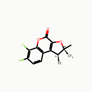 CC[C@H]1c2c(c(=O)oc3c(F)c(F)ccc23)O[C@@]1(C)C(F)(F)F